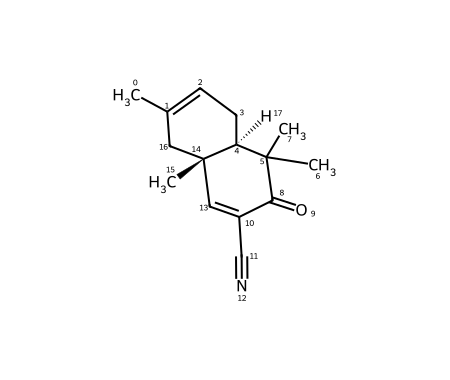 CC1=CC[C@H]2C(C)(C)C(=O)C(C#N)=C[C@]2(C)C1